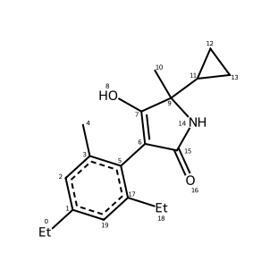 CCc1cc(C)c(C2=C(O)C(C)(C3CC3)NC2=O)c(CC)c1